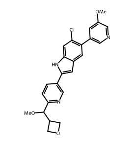 COc1cncc(-c2cc3cc(-c4ccc(C(OC)C5COC5)nc4)[nH]c3cc2Cl)c1